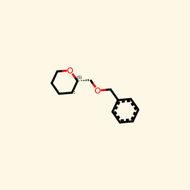 [C]1CCCO[C@@H]1COCc1ccccc1